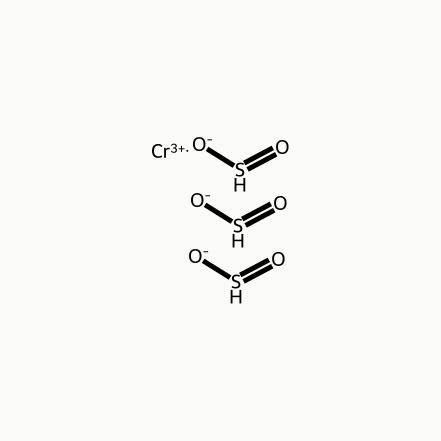 O=[SH][O-].O=[SH][O-].O=[SH][O-].[Cr+3]